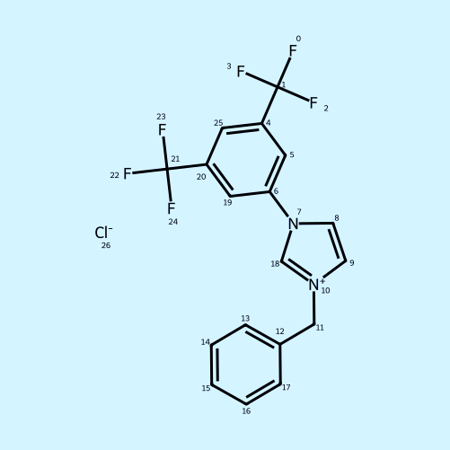 FC(F)(F)c1cc(-n2cc[n+](Cc3ccccc3)c2)cc(C(F)(F)F)c1.[Cl-]